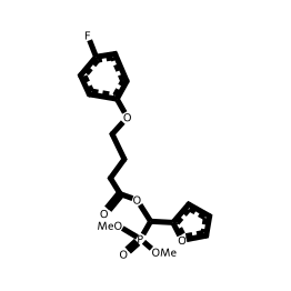 COP(=O)(OC)C(OC(=O)CCCOc1ccc(F)cc1)c1ccco1